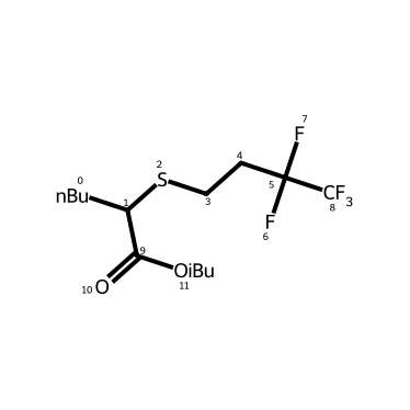 CCCCC(SCCC(F)(F)C(F)(F)F)C(=O)OCC(C)C